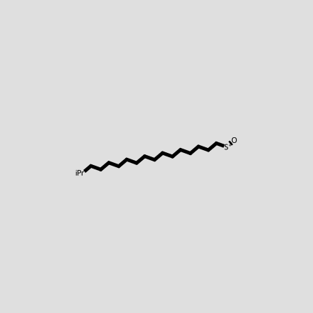 CC(C)CCCCCCCCCCCCCCC[S+]=O